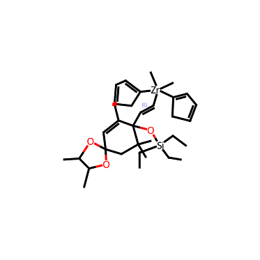 CC[Si](CC)(CC)OC1(/C=[CH]/[Zr]([CH3])([CH3])([C]2=CC=CC2)[C]2=CC=CC2)C(C)=CC2(CC1(C)C)OC(C)C(C)O2